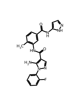 Cc1ccc(C(=O)Nc2ccn[nH]2)cc1NC(=O)c1cnn(-c2ccccc2F)c1N